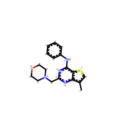 Cc1csc2c(Nc3ccccc3)nc(CN3CCOCC3)nc12